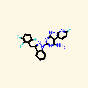 Nc1nc(-n2nc(Cc3c(F)ccc(F)c3F)c3ccccc32)nc(N)c1-c1ccc(F)nc1